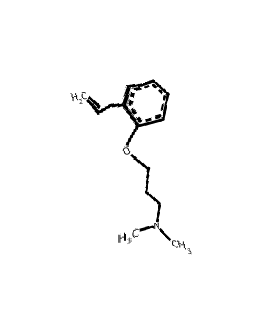 C=Cc1ccccc1OCCCN(C)C